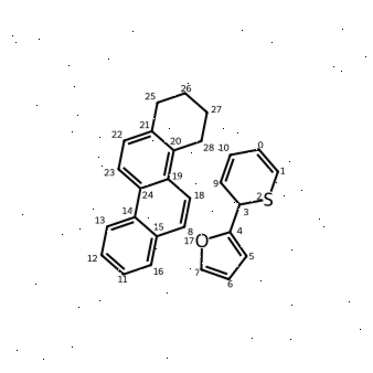 C1=CSC(c2ccco2)C=C1.c1ccc2c(c1)ccc1c3c(ccc12)CCCC3